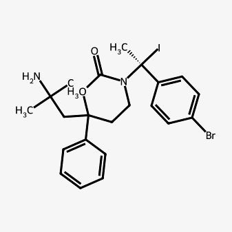 CC(C)(N)CC1(c2ccccc2)CCN([C@@](C)(I)c2ccc(Br)cc2)C(=O)O1